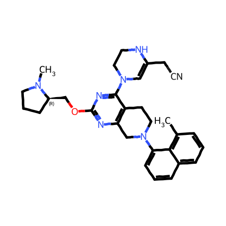 Cc1cccc2cccc(N3CCc4c(nc(OC[C@H]5CCCN5C)nc4N4C=C(CC#N)NCC4)C3)c12